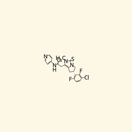 Cn1c(CC(=O)Nc2ccncc2)c2n(c1=S)C[C@H](c1c(F)ccc(Cl)c1F)C2